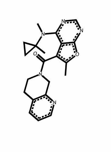 Cc1oc2ncnc(N(C)C3(C)CC3)c2c1C(=O)N1CCc2cccnc2C1